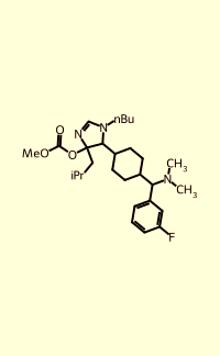 CCCCN1C=NC(CC(C)C)(OC(=O)OC)C1C1CCC(C(c2cccc(F)c2)N(C)C)CC1